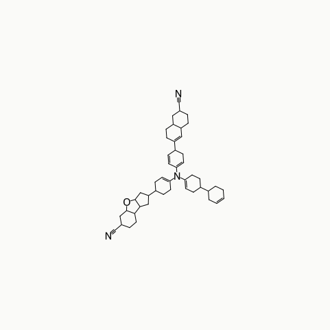 N#CC1CCC2C=C(C3C=CC(N(C4=CCC(C5CC=CCC5)CC4)C4=CCC(C5CC6OC7CC(C#N)CCC7C6C5)CC4)=CC3)CCC2C1